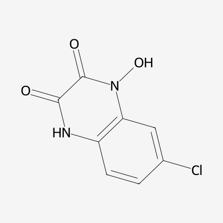 O=c1[nH]c2ccc(Cl)cc2n(O)c1=O